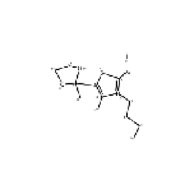 CCCC[n+]1c(C)sc(C2(C)OCCO2)c1C.[I-]